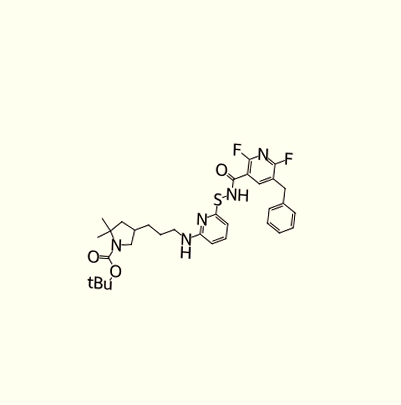 CC(C)(C)OC(=O)N1CC(CCCNc2cccc(SNC(=O)c3cc(Cc4ccccc4)c(F)nc3F)n2)CC1(C)C